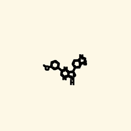 COc1cccc(-c2cnc3[nH]cc(-c4ccc5ncsc5c4)c3n2)c1